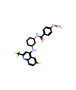 COc1ccc(C(=O)N[C@@H]2CCC[C@H](Nc3cc(C(F)(F)F)nc4ccc(F)cc34)C2)cc1